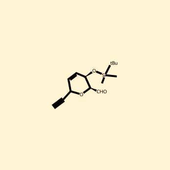 C#CC1C=C[C@@H](O[Si](C)(C)C(C)(C)C)[C@@H](C=O)O1